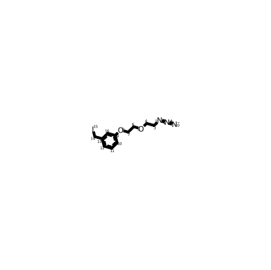 [N-]=[N+]=NCCOCCOc1cccc(CI)c1